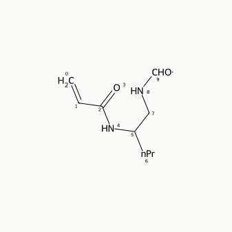 C=CC(=O)NC(CCC)CN[C]=O